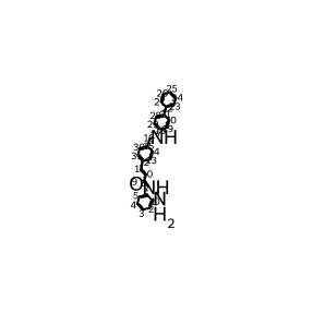 Nc1ccccc1NC(=O)C=Cc1ccc(CNc2ccc(-c3ccccc3)cc2)cc1